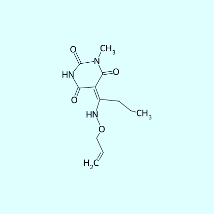 C=CCON/C(CCC)=C1\C(=O)NC(=O)N(C)C1=O